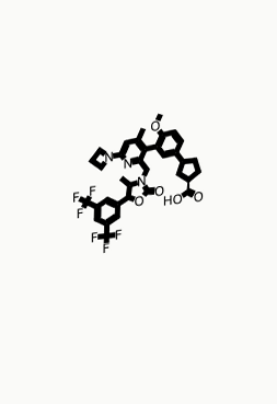 COc1ccc(C2CC[C@@H](C(=O)O)C2)cc1-c1c(C)cc(N2CCC2)nc1CN1C(=O)OC(c2cc(C(F)(F)F)cc(C(F)(F)F)c2)C1C